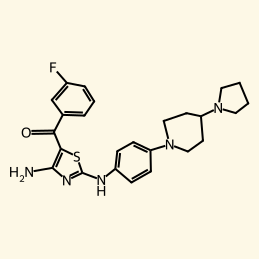 Nc1nc(Nc2ccc(N3CCC(N4CCCC4)CC3)cc2)sc1C(=O)c1cccc(F)c1